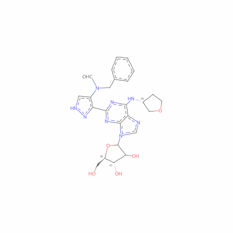 O=CN(Cc1ccccc1)c1c[nH]nc1-c1nc(N[C@@H]2CCOC2)c2ncn(C3O[C@H](CO)[C@@H](O)C3O)c2n1